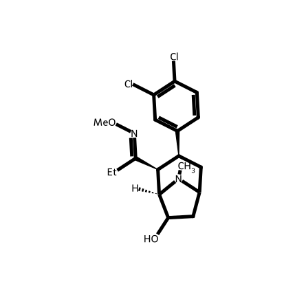 CCC(=NOC)[C@H]1[C@@H](c2ccc(Cl)c(Cl)c2)CC2CC(O)[C@@H]1N2C